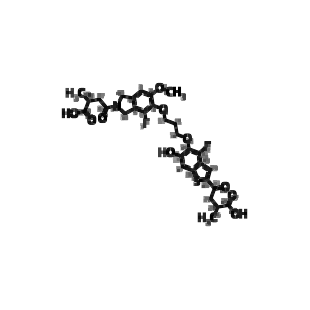 COc1cc2c(c(F)c1OCCCOc1c(O)cc3sc(C(=O)CC(C)C(=O)O)cc3c1F)CN(C(=O)CC(C)C(=O)O)C2